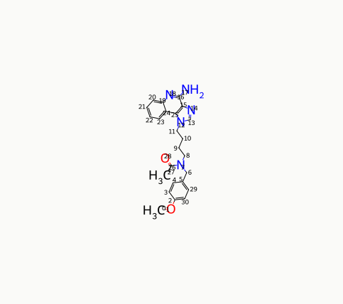 COc1ccc(CN(CCCCn2cnc3c(N)nc4ccccc4c32)C(C)=O)cc1